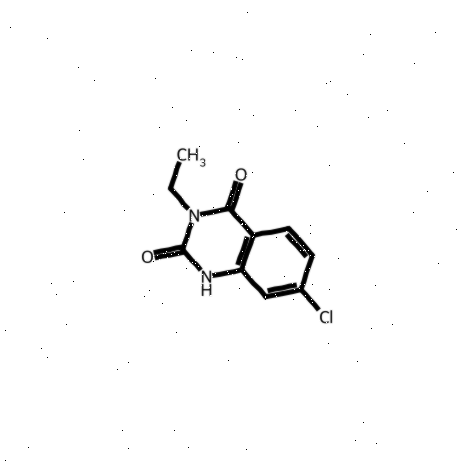 CCn1c(=O)[nH]c2cc(Cl)ccc2c1=O